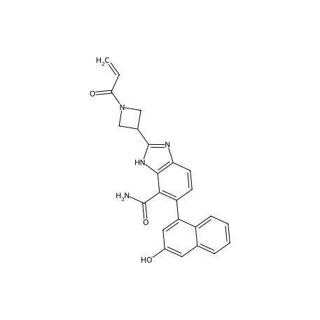 C=CC(=O)N1CC(c2nc3ccc(-c4cc(O)cc5ccccc45)c(C(N)=O)c3[nH]2)C1